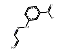 N=C/C=N\Nc1cccc([N+](=O)[O-])c1